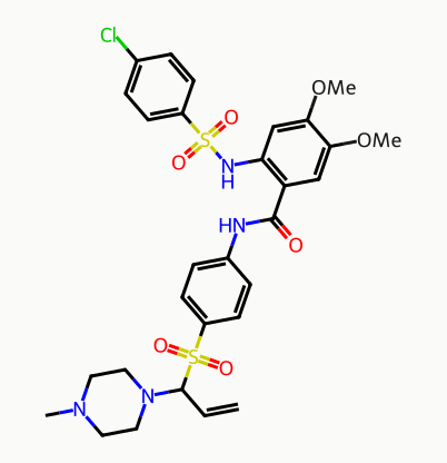 C=CC(N1CCN(C)CC1)S(=O)(=O)c1ccc(NC(=O)c2cc(OC)c(OC)cc2NS(=O)(=O)c2ccc(Cl)cc2)cc1